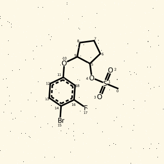 CS(=O)(=O)OC1CCCC1Oc1ccc(Br)c(F)c1